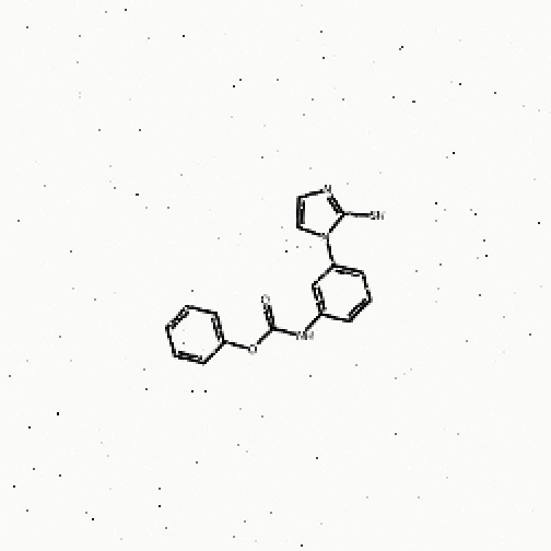 O=C(Nc1cccc(-n2ccnc2S)c1)Oc1ccccc1